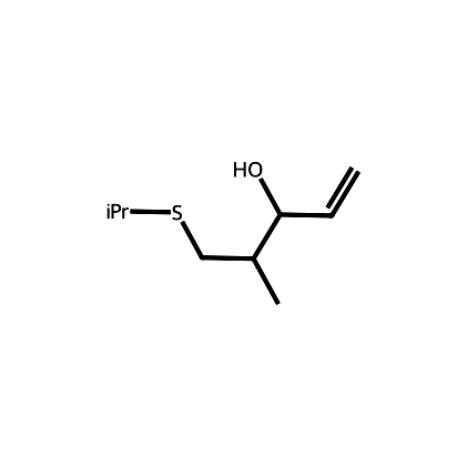 C=CC(O)C(C)CSC(C)C